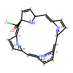 O=C(Cl)C12C=CC(C=C3C=CC(=N3)C=c3ccc([nH]3)=CC3=NC(=C1)C=C3)N2